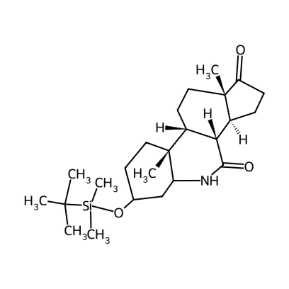 CC(C)(C)[Si](C)(C)OC1CC[C@@]2(C)C(C1)NC(=O)[C@@H]1[C@H]2CC[C@]2(C)C(=O)CC[C@@H]12